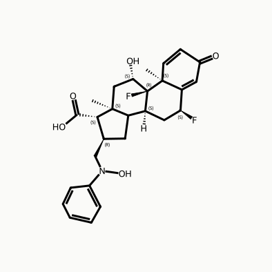 C[C@]12C[C@H](O)[C@@]3(F)[C@@H](C[C@H](F)C4=CC(=O)C=C[C@@]43C)C1C[C@@H](CN(O)c1ccccc1)[C@@H]2C(=O)O